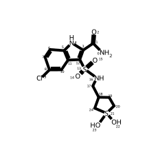 NC(=O)c1[nH]c2ccc(Cl)cc2c1S(=O)(=O)NCC1CCS(O)(O)C1